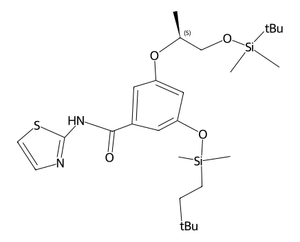 C[C@@H](CO[Si](C)(C)C(C)(C)C)Oc1cc(O[Si](C)(C)CCC(C)(C)C)cc(C(=O)Nc2nccs2)c1